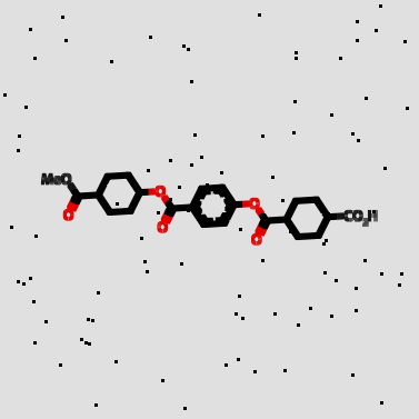 COC(=O)C1CCC(OC(=O)c2ccc(OC(=O)C3CCC(C(=O)O)CC3)cc2)CC1